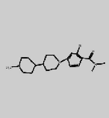 CN(C)C(=O)c1ccc(N2CCC(C3CCN(C(=O)O)CC3)CC2)cc1Cl